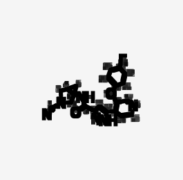 N#CN1CC2C[C@]2(NC(=O)c2cc(-c3ccncc3Oc3ccc(F)cc3)[nH]n2)C1